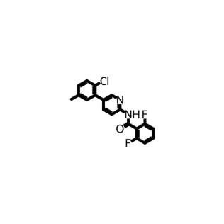 Cc1ccc(Cl)c(-c2ccc(NC(=O)c3c(F)cccc3F)nc2)c1